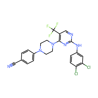 N#Cc1ccc(N2CCN(c3nc(Nc4ccc(Cl)c(Cl)c4)ncc3C(F)(F)F)CC2)cc1